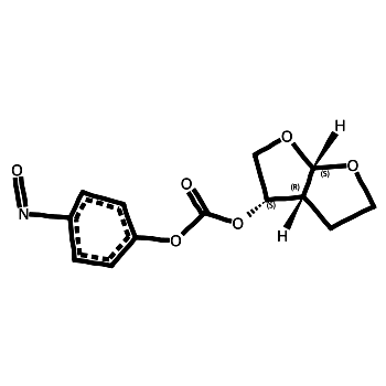 O=Nc1ccc(OC(=O)O[C@@H]2CO[C@@H]3OCC[C@@H]32)cc1